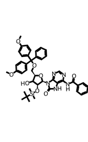 COc1ccc(C(OC[C@H]2O[C@@H](n3c(=O)[nH]c4c(NC(=O)c5ccccc5)ncnc43)[C@@H](O[Si](C)(C)C(C)(C)C)C2O)(c2ccccc2)c2ccc(OC)cc2)cc1